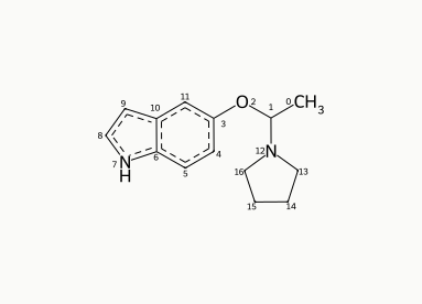 CC(Oc1ccc2[nH]ccc2c1)N1CCCC1